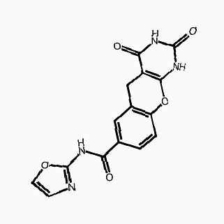 O=C(Nc1ncco1)c1ccc2c(c1)Cc1c([nH]c(=O)[nH]c1=O)O2